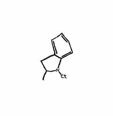 CCN1c2ccccc2CC1C